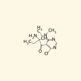 CCN(C)c1ncnc(Cl)c1C(=O)C(C)(N)CC